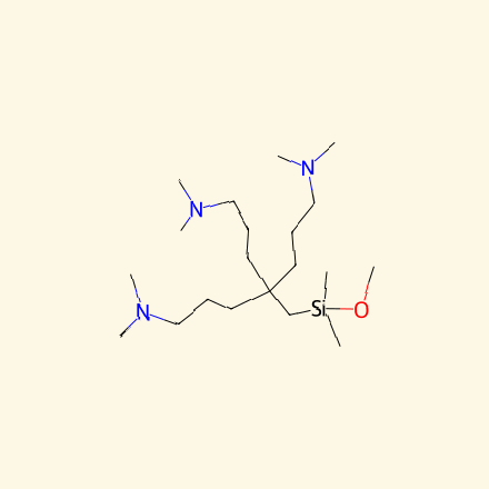 CO[Si](C)(C)CC(CCCN(C)C)(CCCN(C)C)CCCN(C)C